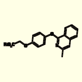 CCOC(=O)COc1ccc(Oc2nc(C)cc3ccccc23)cc1